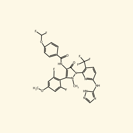 COc1cc(F)c(-c2c(NC(=O)c3ccc(OC(F)F)cc3)c(=O)n(-c3nc(Nc4ncn[nH]4)ccc3C(F)(F)F)n2C)c(F)c1